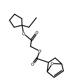 CCC1(OC(=O)COC(=O)C2CC3C=CC2O3)CCCC1